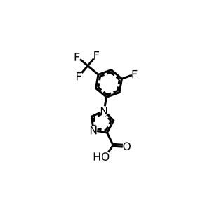 O=C(O)c1cn(-c2cc(F)cc(C(F)(F)F)c2)cn1